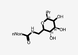 CCCCCCCCCC(=O)NCC1O[C@@H](C(C)C)C(O)[C@@H](O)[C@@H]1O